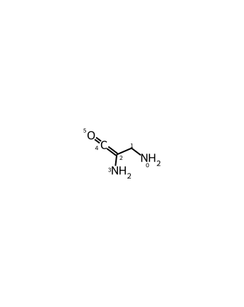 NCC(N)=C=O